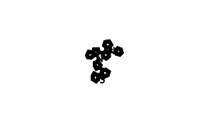 c1ccc(-n2c3ccccc3c3c4c5ccc6ccccc6c5n(-c5cccc(-c6cccc7sc8ccccc8c67)c5)c4ccc32)cc1